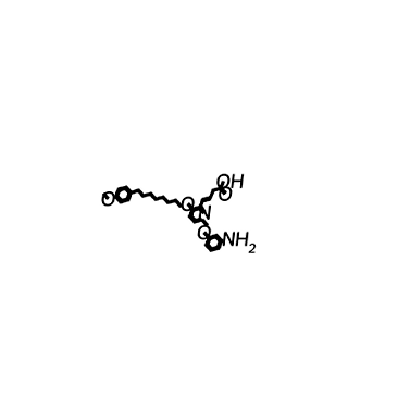 COc1ccc(CCCCCCCCOc2ccc(COc3cccc(N)c3)nc2C=CCC(=O)O)cc1